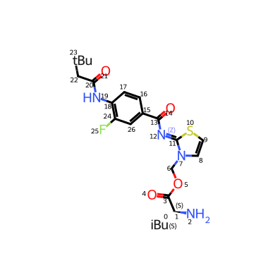 CC[C@H](C)[C@H](N)C(=O)OCn1ccs/c1=N\C(=O)c1ccc(NC(=O)CC(C)(C)C)c(F)c1